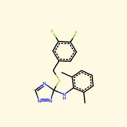 Cc1cccc(C)c1NC1(SCc2ccc(F)c(F)c2)N=CN=N1